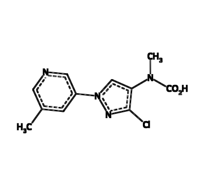 Cc1cncc(-n2cc(N(C)C(=O)O)c(Cl)n2)c1